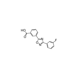 O=C(O)c1cccc(-c2nc(-c3cccc(F)c3)no2)c1